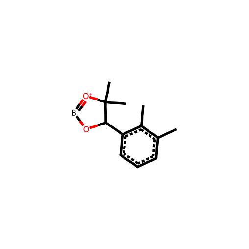 Cc1cccc(C2OB=[O+]C2(C)C)c1C